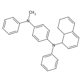 CN(c1ccccc1)c1ccc(N(c2ccccc2)C2C=CC=C3C=CCCC32)cc1